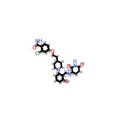 NC(=O)c1ccc(OCCC2CCN(c3cccc(Br)c3CNC3CCC(=O)NC3=O)CC2)cc1Cl